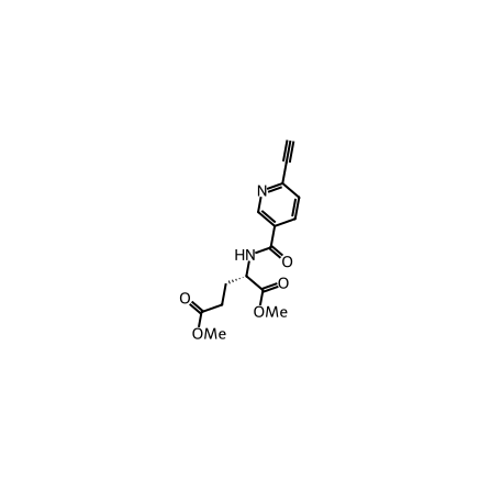 C#Cc1ccc(C(=O)N[C@@H](CCC(=O)OC)C(=O)OC)cn1